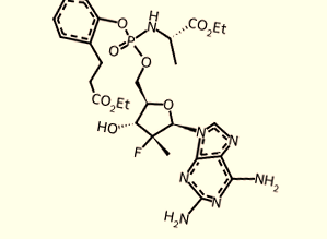 CCOC(=O)CCc1ccccc1OP(=O)(N[C@@H](C)C(=O)OCC)OC[C@H]1O[C@@H](n2cnc3c(N)nc(N)nc32)[C@](C)(F)[C@@H]1O